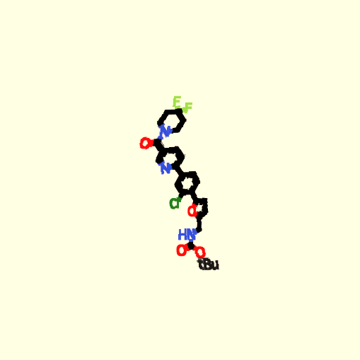 CC(C)(C)OC(=O)NCc1ccc(-c2ccc(-c3ccc(C(=O)N4CCC(F)(F)CC4)cn3)cc2Cl)o1